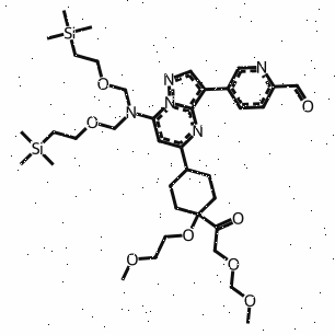 COCCOC1(C(=O)COCOC)CCC(c2cc(N(COCC[Si](C)(C)C)COCC[Si](C)(C)C)n3ncc(-c4ccc(C=O)nc4)c3n2)CC1